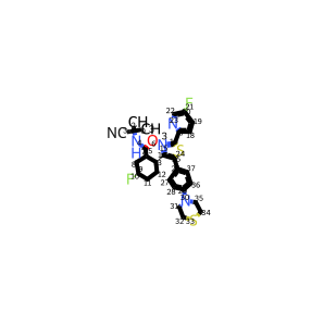 CC(C)(C#N)NC(=O)C1C[C@@H](F)CC[C@H]1c1nc(-c2ccc(F)cn2)sc1-c1ccc(N2CCSCC2)cc1